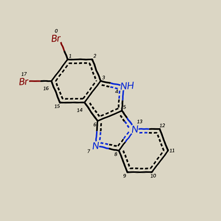 Brc1cc2[nH]c3c(nc4ccccn43)c2cc1Br